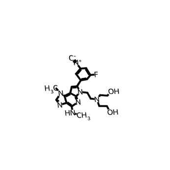 [C-]#[N+]c1cc(F)cc(-c2cc3c4c(ncn4C)c(NC)nc3n2CCN(CCO)CCO)c1